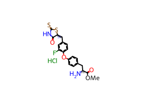 COC(=O)[C@@H](N)Cc1ccc(Oc2ccc(/C=C3/SC(=S)NC3=O)cc2F)cc1.Cl